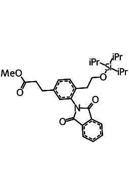 COC(=O)CCc1ccc(CCO[Si](C(C)C)(C(C)C)C(C)C)c(N2C(=O)c3ccccc3C2=O)c1